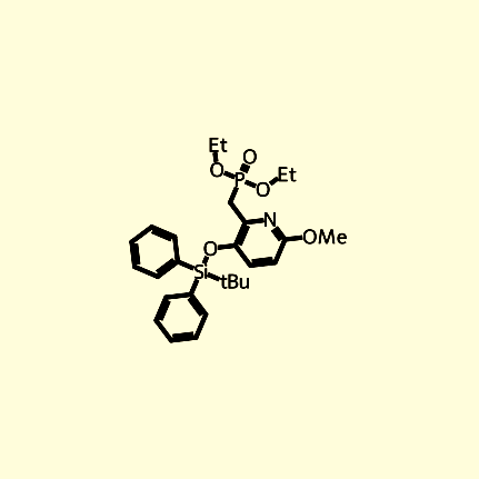 CCOP(=O)(Cc1nc(OC)ccc1O[Si](c1ccccc1)(c1ccccc1)C(C)(C)C)OCC